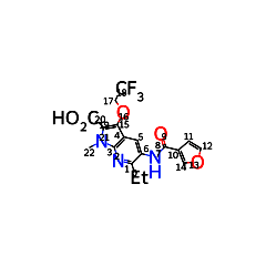 CCc1nc2c(cc1NC(=O)c1ccoc1)c(OCC(F)(F)F)c(C(=O)O)n2C